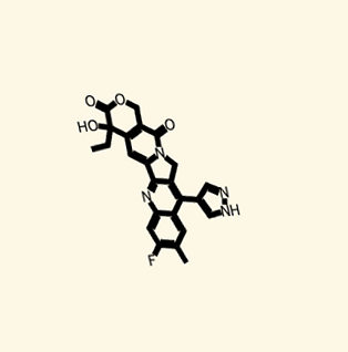 CCC1(O)C(=O)OCc2c1cc1n(c2=O)Cc2c-1nc1cc(F)c(C)cc1c2-c1cn[nH]c1